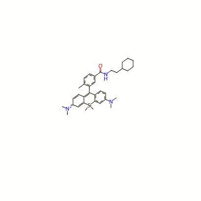 Cc1ccc(C(=O)NCCC2CCCCC2)cc1C1=C2C=CC(=[N+](C)C)C=C2[Si](C)(C)c2cc(N(C)C)ccc21